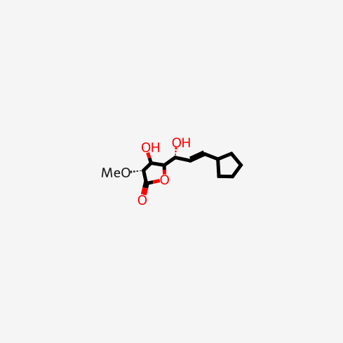 CO[C@H]1C(=O)OC([C@H](O)/C=C/C2CCCC2)C1O